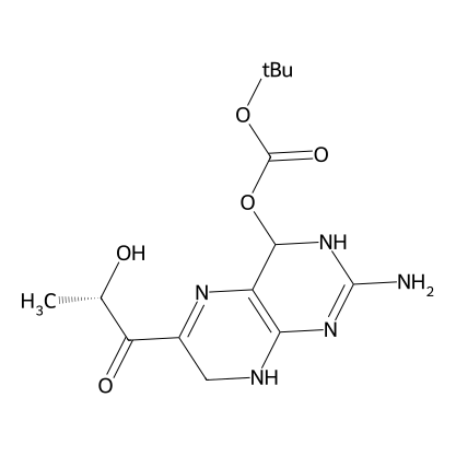 C[C@H](O)C(=O)C1=NC2=C(N=C(N)NC2OC(=O)OC(C)(C)C)NC1